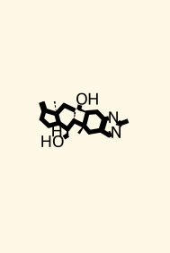 C=C1CC[C@H]2[C@H](CO)[C@@H]([C@@]3(C)Cc4cnc(C)nc4C[C@@H]3CO)CC[C@]12C